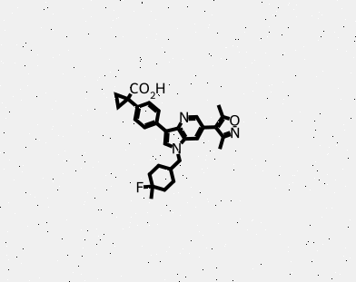 Cc1noc(C)c1-c1cnc2c(-c3ccc(C4(C(=O)O)CC4)cc3)cn(CC3CCC(C)(F)CC3)c2c1